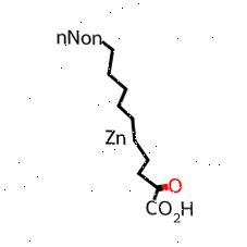 CCCCCCCCCCCCCCCCCC(=O)C(=O)O.[Zn]